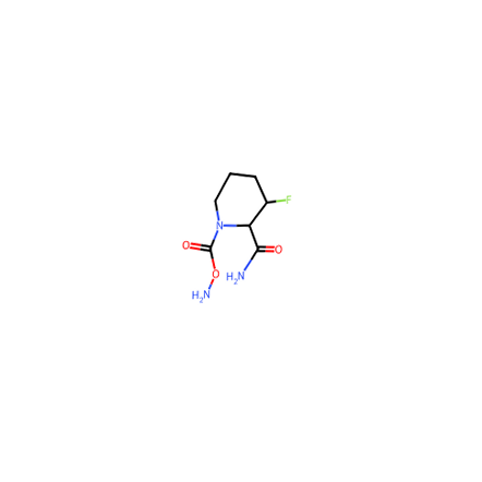 NOC(=O)N1CCCC(F)C1C(N)=O